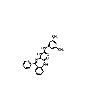 Cc1cc(C)cc(NC(=O)NC2N=C(c3ccccc3)c3ccccc3NC2=O)c1